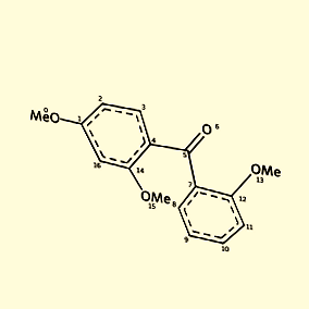 COc1ccc(C(=O)c2ccccc2OC)c(OC)c1